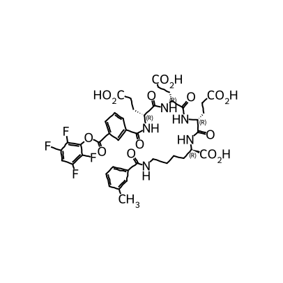 Cc1cccc(C(=O)NCCCC[C@@H](NC(=O)[C@@H](CCC(=O)O)NC(=O)[C@@H](CCC(=O)O)NC(=O)[C@@H](CCC(=O)O)NC(=O)c2cccc(C(=O)Oc3c(F)c(F)cc(F)c3F)c2)C(=O)O)c1